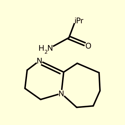 C1CCC2=NCCCN2CC1.CC(C)C(N)=O